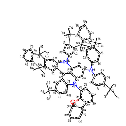 CC(C)(C)c1ccc(N(c2ccc(C(C)(C)C)cc2)c2cc3c4c(c2)N(c2cccc5c2oc2ccccc25)c2ccc(C(C)(C)C)cc2B4c2cc4c(cc2N3c2ccc3c(c2)C(C)(C)c2ccccc2C3(C)C)C(C)(C)c2ccccc2C4(C)C)cc1